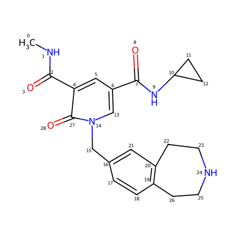 CNC(=O)c1cc(C(=O)NC2CC2)cn(Cc2ccc3c(c2)CCNCC3)c1=O